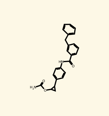 NC(=O)OC1CC1c1ccc(NC(=O)c2cccc(Cc3ccccc3)c2)cc1